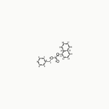 O=C(OCc1ccccc1)Oc1cccc2ccccc12